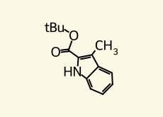 Cc1c(C(=O)OC(C)(C)C)[nH]c2ccccc12